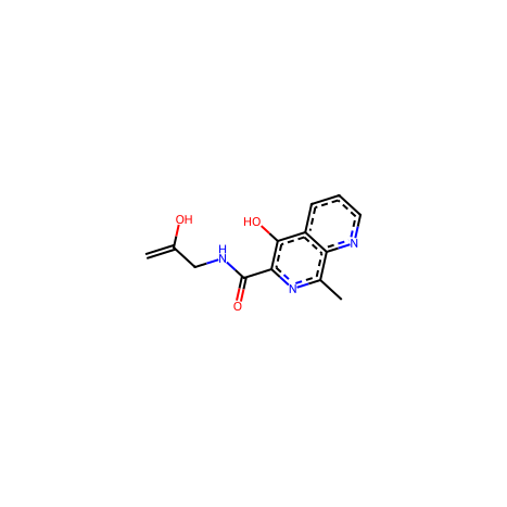 C=C(O)CNC(=O)c1nc(C)c2ncccc2c1O